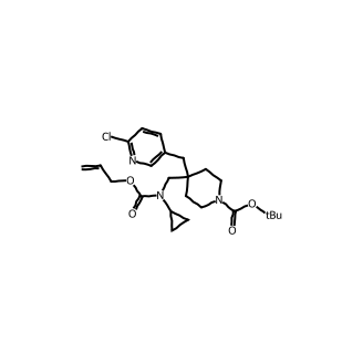 C=CCOC(=O)N(CC1(Cc2ccc(Cl)nc2)CCN(C(=O)OC(C)(C)C)CC1)C1CC1